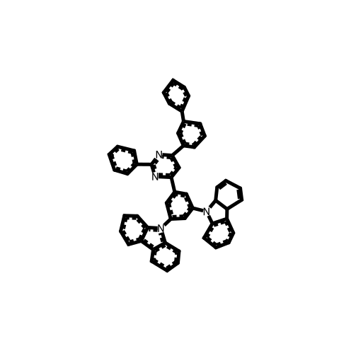 C1=CC2c3ccccc3N(c3cc(-c4cc(-c5cccc(-c6ccccc6)c5)nc(-c5ccccc5)n4)cc(-n4c5ccccc5c5ccccc54)c3)C2C=C1